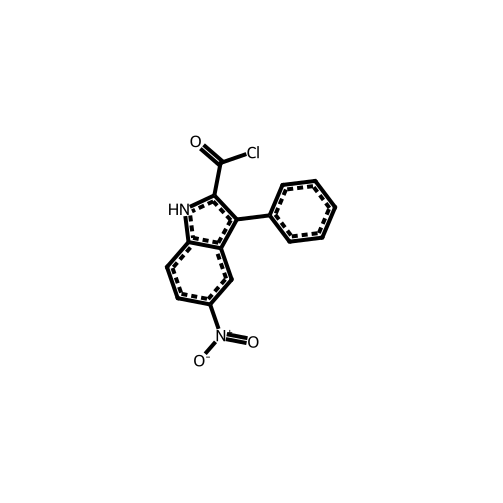 O=C(Cl)c1[nH]c2ccc([N+](=O)[O-])cc2c1-c1ccccc1